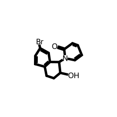 O=c1ccccn1C1c2cc(Br)ccc2CCC1O